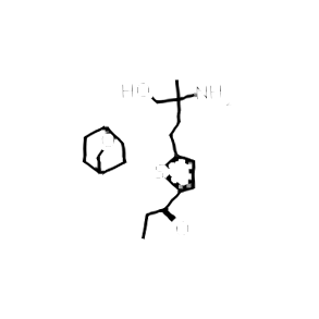 C1CC2CCC1CO2.CCC(=O)c1ccc(CCC(C)(N)CO)s1